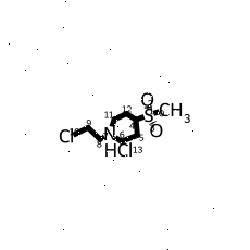 CS(=O)(=O)C1CCN(CCCl)CC1.Cl